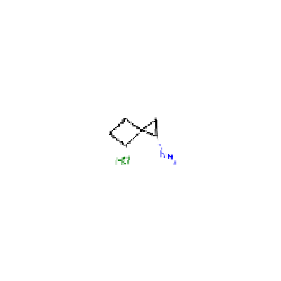 Cl.N[C@H]1CC12CCC2